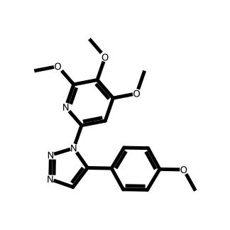 COc1ccc(-c2cnnn2-c2cc(OC)c(OC)c(OC)n2)cc1